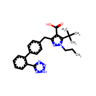 CCCn1nc(Cc2ccc(-c3ccccc3-c3nn[nH]n3)cc2)c(C(=O)O)c1C(C)(C)C